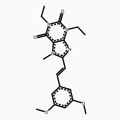 CCn1c(=O)c2c(nc(/C=C/c3cc(OC)cc(OC)c3)n2C)n(CC)c1=O